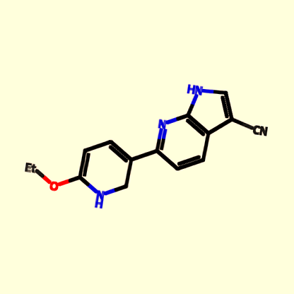 CCOC1=CC=C(c2ccc3c(C#N)c[nH]c3n2)CN1